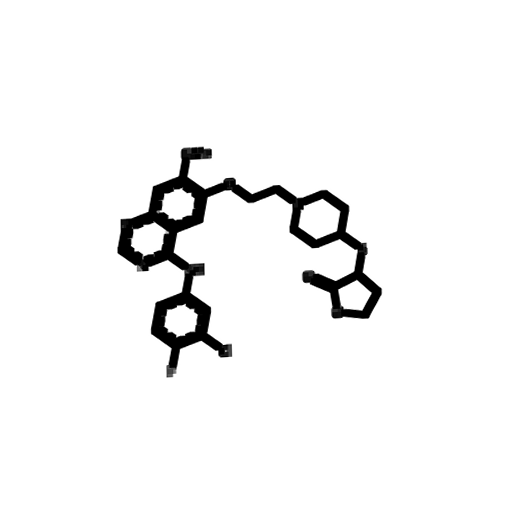 COc1cc2ncnc(Nc3ccc(F)c(Cl)c3)c2cc1OCCN1CCC(SC2CCOC2=O)CC1